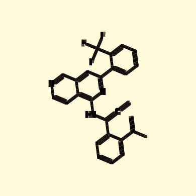 C=C=C(Nc1nc(-c2ccccc2C(F)(F)F)cc2cnccc12)c1ccccc1C(=C)C